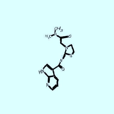 CN(C)C(=O)CN1CCS/C1=N\C(=O)c1c[nH]c2ncccc12